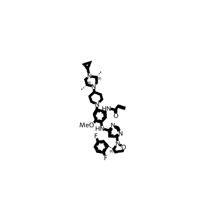 C=CC(=O)Nc1cc(Nc2cc(N3OCC[C@@H]3c3cc(F)ccc3F)ncn2)c(OC)cc1N1CCC(N2C[C@@H](C)N(C3CC3)C[C@H]2C)CC1